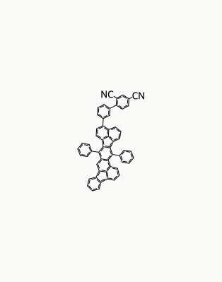 N#Cc1ccc(-c2cccc(-c3ccc4c5c(-c6ccccc6)c6cc7c8ccccc8c8cccc(c6c(-c6ccccc6)c5c5cccc3c45)c87)c2)c(C#N)c1